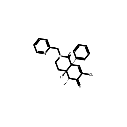 C[C@H]1C(=O)C(C#N)=C[C@]2(c3ccccc3)C(=O)N(Cc3ccccn3)CC[C@@H]12